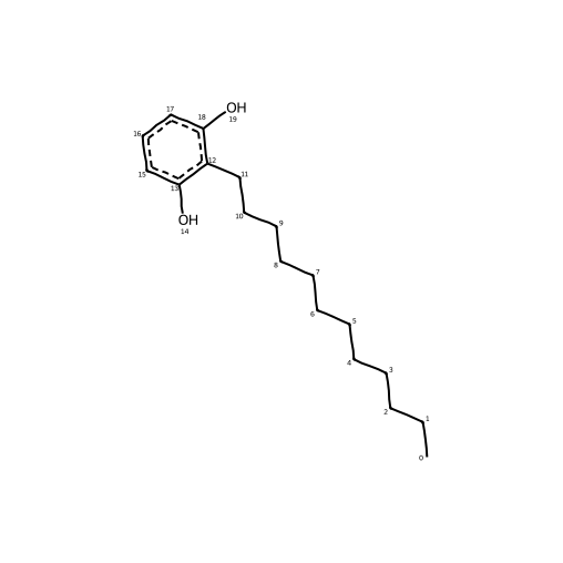 CCCCCCCCCCCCc1c(O)cccc1O